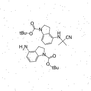 CC(C)(C#N)Nc1cccc2c1CCN2C(=O)OC(C)(C)C.CC(C)(C)OC(=O)N1CCc2c(N)cccc21